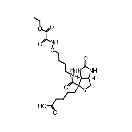 CCOC(=O)C(=O)NOCCCCNC(=O)[C@@]1(CCCCC(=O)O)SC[C@@H]2NC(=O)N[C@@H]21